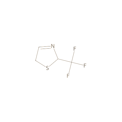 FC(F)(F)C1N=CCS1